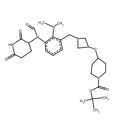 CN(C)c1c(CN2CC(OC3CCN(C(=O)OC(C)(C)C)CC3)C2)cccc1N(C=O)C1CCC(=O)NC1=O